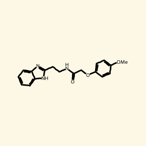 COc1ccc(OCC(=O)NCCc2nc3ccccc3[nH]2)cc1